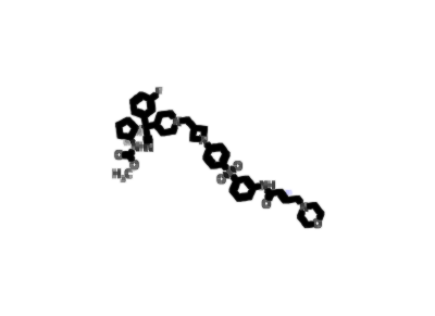 COC(=O)N[C@H]1CCC[C@@H]1C(C#N)(c1cccc(F)c1)C1CCN(CC2CN(c3ccc(S(=O)(=O)c4cccc(NC(=O)/C=C/CN5CCOCC5)c4)cc3)C2)CC1